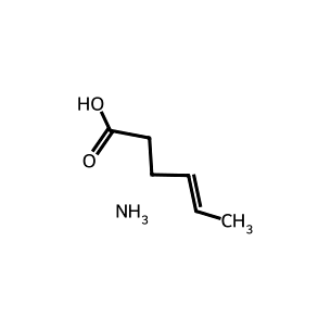 C/C=C/CCC(=O)O.N